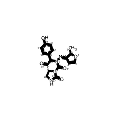 CC1OC=CC1=NN(C(=O)N1CCNC1=O)C([C]=O)c1ccc(O)cc1